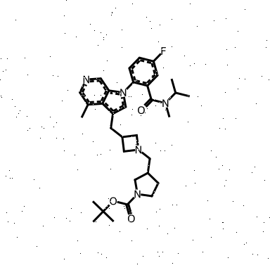 Cc1cncc2c1c(CC1CN(CC3CCN(C(=O)OC(C)(C)C)C3)C1)cn2-c1ccc(F)cc1C(=O)N(C)C(C)C